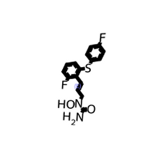 NC(=O)N(O)C/C=C/c1c(F)cccc1Sc1ccc(F)cc1